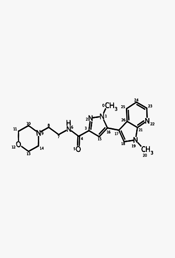 Cn1nc(C(=O)NCCN2CCOCC2)cc1-c1cn(C)c2ncccc12